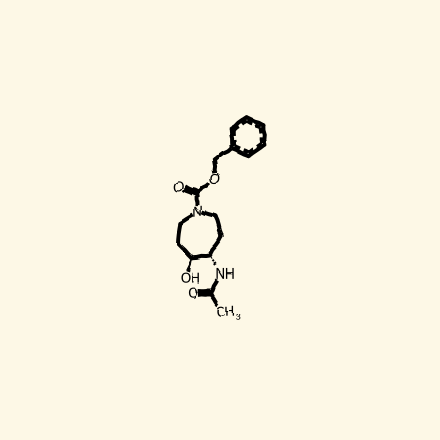 CC(=O)N[C@H]1CCN(C(=O)OCc2ccccc2)CC[C@@H]1O